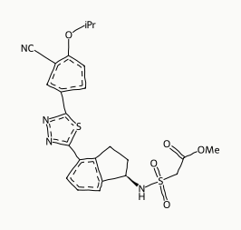 COC(=O)CS(=O)(=O)N[C@@H]1CCc2c(-c3nnc(-c4ccc(OC(C)C)c(C#N)c4)s3)cccc21